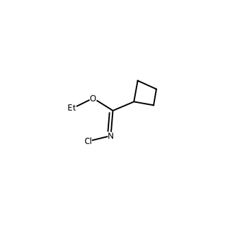 CCO/C(=N\Cl)C1CCC1